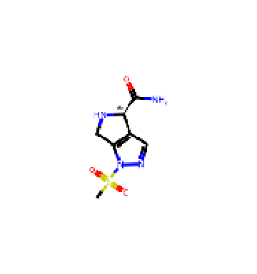 CS(=O)(=O)n1ncc2c1CN[C@H]2C(N)=O